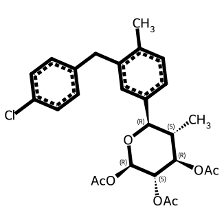 CC(=O)O[C@H]1O[C@@H](c2ccc(C)c(Cc3ccc(Cl)cc3)c2)[C@H](C)[C@@H](OC(C)=O)[C@@H]1OC(C)=O